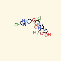 Cc1nc(-n2cc(Cl)c(OC3CCN(c4ncc(Cl)cn4)CC3)cc2=O)ccc1N1CC[C@H](O)C1=O